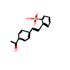 CC(=O)c1ccc(C=Cc2ccccc2S(=O)(=O)O)cc1